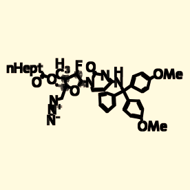 CCCCCCCC(=O)OC[C@@]1(CN=[N+]=[N-])O[C@@H](n2ccc(NC(c3ccccc3)(c3ccc(OC)cc3)c3ccc(OC)cc3)nc2=O)[C@H](F)[C@@H]1C